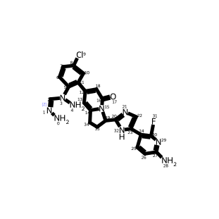 N/N=C\N(N)c1ccc(Cl)cc1-c1cc2n(c(=O)c1)C(c1ncc(-c3ccc(N)nc3F)[nH]1)CC2